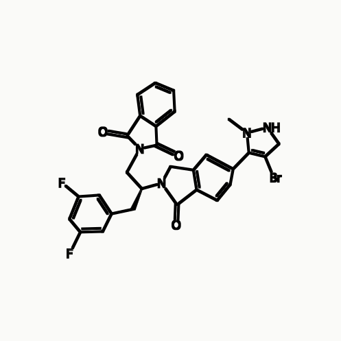 CN1NCC(Br)=C1c1ccc2c(c1)CN([C@@H](Cc1cc(F)cc(F)c1)CN1C(=O)c3ccccc3C1=O)C2=O